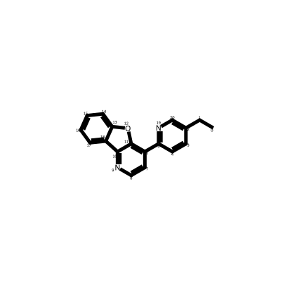 CCc1ccc(-c2ccnc3c2oc2ccccc23)nc1